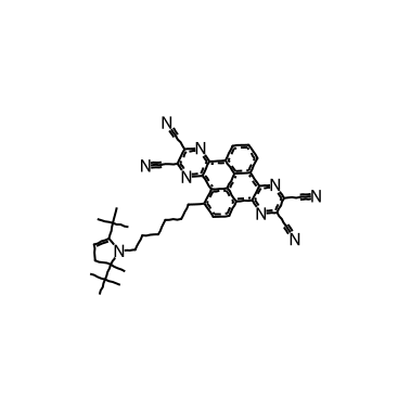 CC(C)(C)C1=CCC(C)(C(C)(C)C)N1CCCCCCc1ccc2c3nc(C#N)c(C#N)nc3c3cccc4c5nc(C#N)c(C#N)nc5c1c2c34